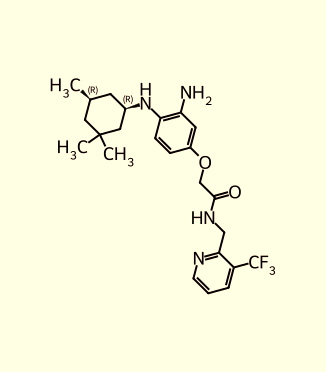 C[C@H]1C[C@@H](Nc2ccc(OCC(=O)NCc3ncccc3C(F)(F)F)cc2N)CC(C)(C)C1